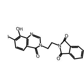 O=C1c2ccccc2C(=O)N1CCn1cnc2c(O)c(I)ccc2c1=O